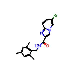 Cc1cc(C)c(CNC(=O)c2cn3cc(Br)ccc3n2)c(C)c1